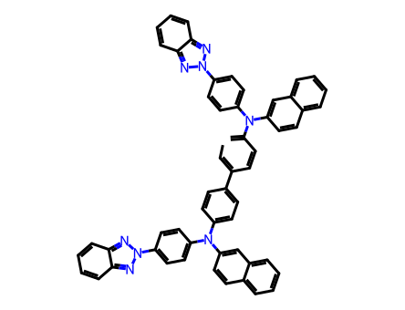 C=C(/C=C\C(=C/C)c1ccc(N(c2ccc(-n3nc4ccccc4n3)cc2)c2ccc3ccccc3c2)cc1)N(c1ccc(-n2nc3ccccc3n2)cc1)c1ccc2ccccc2c1